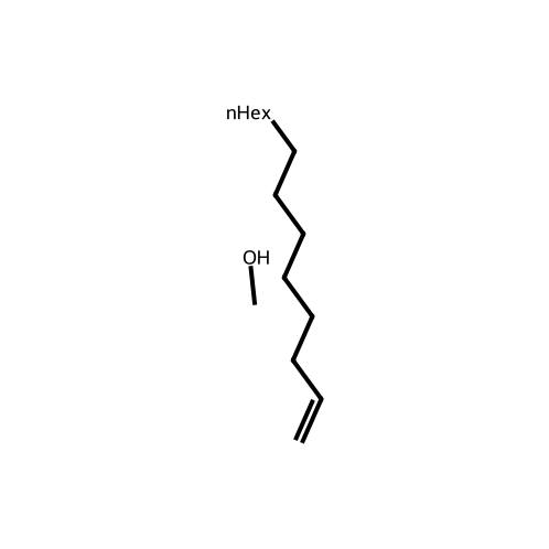 C=CCCCCCCCCCCCC.CO